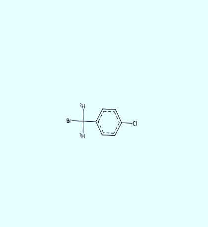 [2H]C([2H])(Br)c1ccc(Cl)cc1